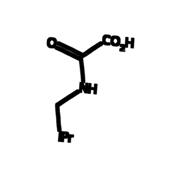 CC(C)CNC(=O)C(=O)O